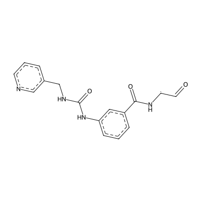 O=C[CH]NC(=O)c1cccc(NC(=O)NCc2cccnc2)c1